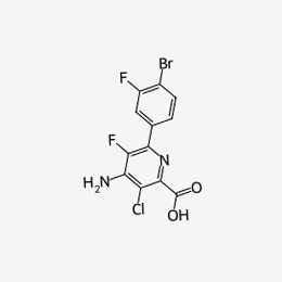 Nc1c(F)c(-c2ccc(Br)c(F)c2)nc(C(=O)O)c1Cl